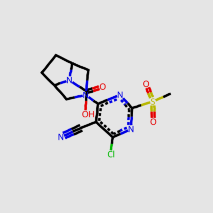 CS(=O)(=O)c1nc(Cl)c(C#N)c(N2CC3CCC(C2)N3C(=O)O)n1